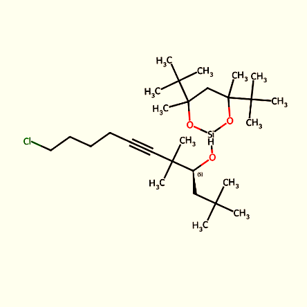 CC(C)(C)C[C@H](O[SiH]1OC(C)(C(C)(C)C)CC(C)(C(C)(C)C)O1)C(C)(C)C#CCCCCCl